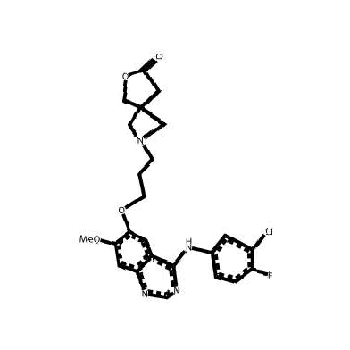 COc1cc2ncnc(Nc3ccc(F)c(Cl)c3)c2cc1OCCCN1CC2(COC(=O)C2)C1